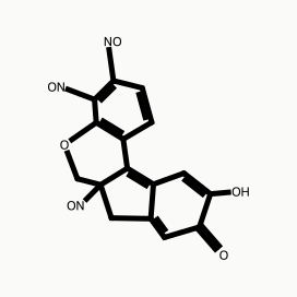 O=Nc1ccc2c(c1N=O)OCC1(N=O)CC3=CC(=O)C(O)=CC3=C21